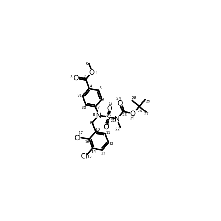 COC(=O)c1ccc(N(Cc2cccc(Cl)c2Cl)S(=O)(=O)N(C)C(=O)OC(C)(C)C)cc1